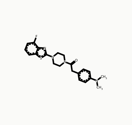 CN(C)c1ccc(CC(=O)N2CCN(c3nc4c(F)cccc4s3)CC2)cc1